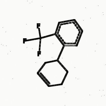 FC(F)(F)c1ccccc1C1CC=CCC1